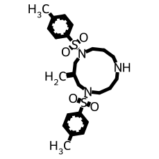 C=C1CN(S(=O)(=O)c2ccc(C)cc2)CCCNCCCN(S(=O)(=O)c2ccc(C)cc2)C1